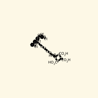 CCOc1ccc(C(=O)N2CCN(c3ccc(-c4ccccc4OCC)nc3CNCCCOCCOCCOCCOCCNC(=O)CN3CCN(CC(=O)O)CCN(CC(=O)O)CCN(CC(=O)O)CC3)[C@H](CC)C2)c(C(F)(F)F)c1